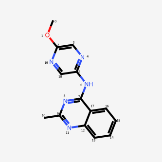 COc1cnc(Nc2nc(C)nc3ccccc23)cn1